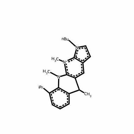 CCCCn1ccc2cc3c([n+](C)c21)N(C)c1c(C(C)C)cccc1C3C